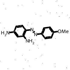 COc1ccc(/N=N/c2ccc(N)cc2N)cc1